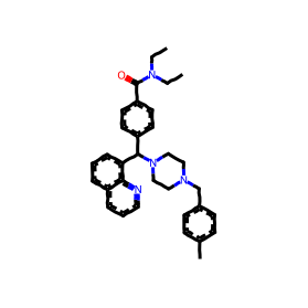 CCN(CC)C(=O)c1ccc(C(c2cccc3cccnc23)N2CCN(Cc3ccc(C)cc3)CC2)cc1